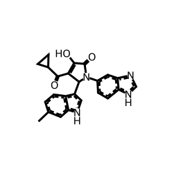 Cc1ccc2c(C3C(C(=O)C4CC4)=C(O)C(=O)N3c3ccc4[nH]cnc4c3)c[nH]c2c1